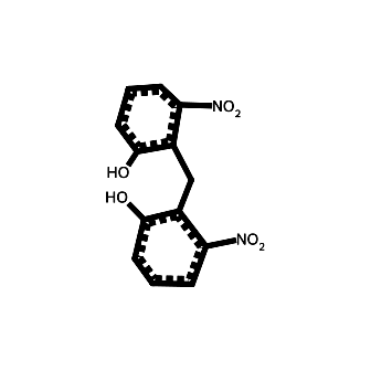 O=[N+]([O-])c1cccc(O)c1Cc1c(O)cccc1[N+](=O)[O-]